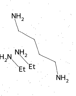 CCN.CCN.NCCCCN